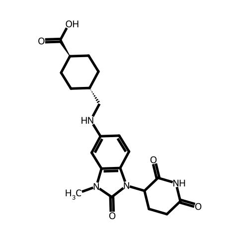 Cn1c(=O)n(C2CCC(=O)NC2=O)c2ccc(NC[C@H]3CC[C@H](C(=O)O)CC3)cc21